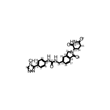 Cn1cnnc1-c1ccc(NC(=O)NCc2ccc3c(c2)CN(C2CCC(=O)NC2=O)C3=O)cc1